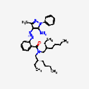 CCCCC(CC)CN(CC(CC)CCCC)C(=O)c1ccccc1/N=N/c1c(C)nn(-c2ccccc2)c1N